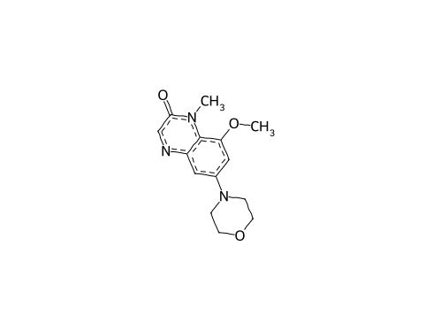 COc1cc(N2CCOCC2)cc2ncc(=O)n(C)c12